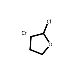 ClC1CCCO1.[Cr]